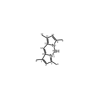 CC1=CC(C)=[N+]2Bn3c(C)cc(C)c3C=C12